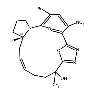 O=[N+]([O-])c1cc(Br)c2nc1-c1nnc(o1)C(O)(C(F)(F)F)CCC=CC[C@@H]1CCCN21